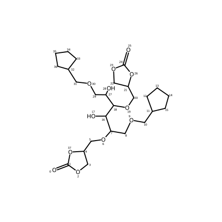 O=C1OCC(COC(COCC2CCCC2)C(O)C(OCC2COC(=O)O2)C(O)COCC2CCCC2)O1